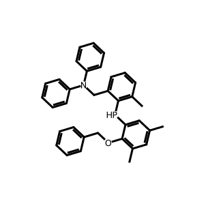 Cc1cc(C)c(OCc2ccccc2)c(Pc2c(C)cccc2CN(c2ccccc2)c2ccccc2)c1